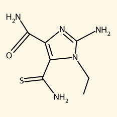 CCn1c(N)nc(C(N)=O)c1C(N)=S